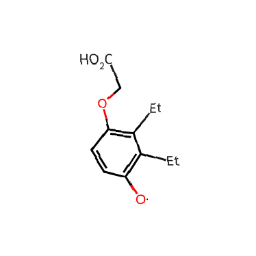 CCc1c([O])ccc(OCC(=O)O)c1CC